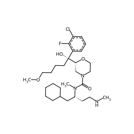 CNCC[C@H](CC1CCCCC1)N(C)C(=O)N1CCO[C@@H]([C@@](O)(CCCCOC)c2cccc(Cl)c2F)C1